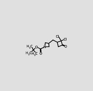 CC(C)(C)OC(=O)N1CC(CC2CC(=O)C2(Cl)Cl)C1